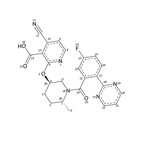 C[C@@H]1CC[C@@H](Oc2nccc(C#N)c2C(=O)O)CN1C(=O)c1cc(F)ccc1-c1ncccn1